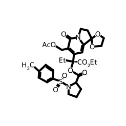 CCOC(=O)[C@](CC)(OC(=O)C1CCCN1S(=O)(=O)c1ccc(C)cc1)c1cc2n(c(=O)c1COC(C)=O)CCC21OCCO1